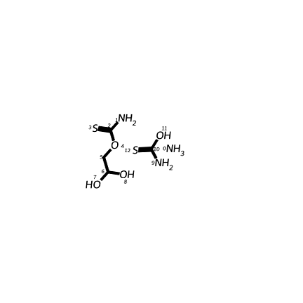 N.NC(=S)OCC(O)O.NC(O)=S